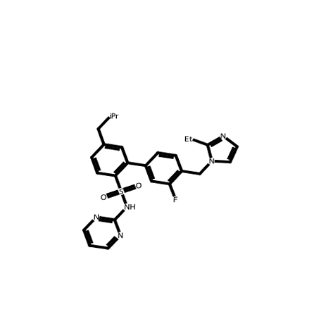 CCc1nccn1Cc1ccc(-c2cc(CC(C)C)ccc2S(=O)(=O)Nc2ncccn2)cc1F